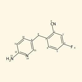 N#Cc1cc(F)ccc1Cc1ccc(N)nc1